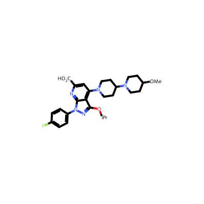 COC1CCN(C2CCN(c3cc(C(=O)O)nc4c3c(OC(C)C)nn4-c3ccc(F)cc3)CC2)CC1